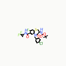 CC(C)(C)OC(=O)N[C@H]1CSc2cc(F)c(C(=O)NC3CC3(F)F)cc2N(Cc2ccc(Cl)cc2)C1=O